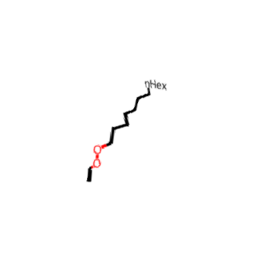 C=COOCCCCCCCCCCCCC